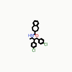 CC(NC(=O)C1CCc2ccccc2CC1)C(Cc1ccc(Cl)cc1)c1ccc(Cl)cc1